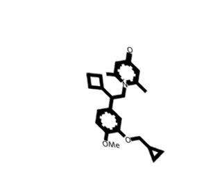 COc1ccc(C(Cn2c(C)cc(=O)cc2C)C2CCC2)cc1OCC1CC1